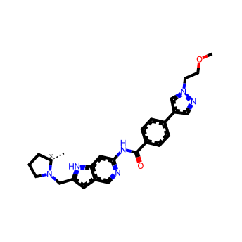 COCCn1cc(-c2ccc(C(=O)Nc3cc4[nH]c(CN5CCC[C@@H]5C)cc4cn3)cc2)cn1